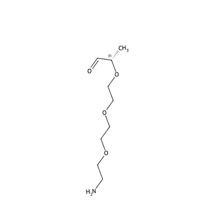 C[C@@H](C=O)OCCOCCOCCN